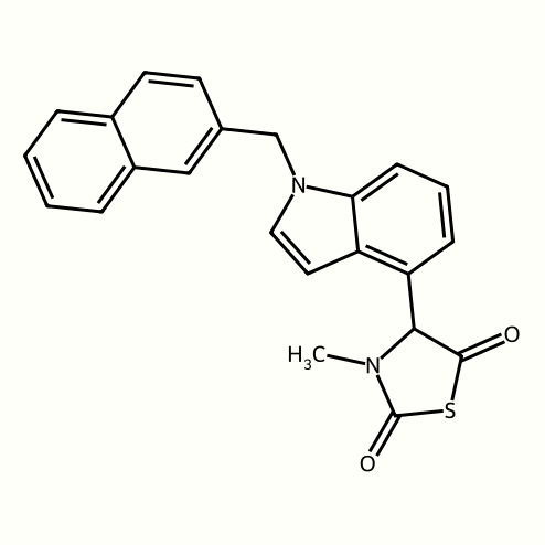 CN1C(=O)SC(=O)C1c1cccc2c1ccn2Cc1ccc2ccccc2c1